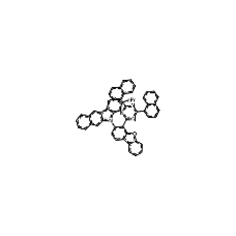 CCCc1ccc2c3cc4ccccc4cc3n(-c3ccc4c(oc5ccccc54)c3-c3nc(-c4cccc5ccccc45)nc(-c4cccc5ccccc45)n3)c2c1